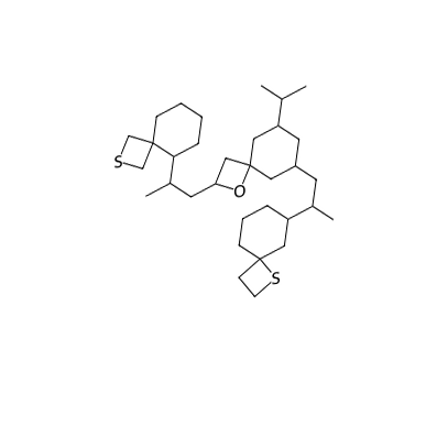 CC(C)C1CC(CC(C)C2CCCC3(CCS3)C2)CC2(CC(CC(C)C3CCCCC34CSC4)O2)C1